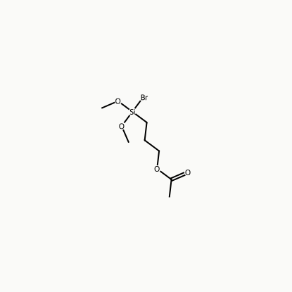 CO[Si](Br)(CCCOC(C)=O)OC